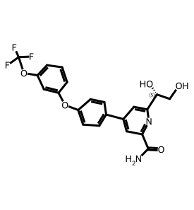 NC(=O)c1cc(-c2ccc(Oc3cccc(OC(F)(F)F)c3)cc2)cc([C@H](O)CO)n1